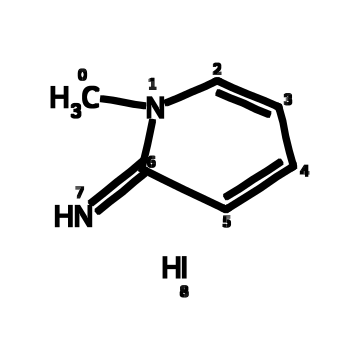 Cn1ccccc1=N.I